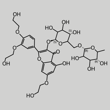 CC1O[C@@H](OCC2O[C@@H](Oc3c(-c4ccc(OCCO)c(OCCO)c4)oc4cc(OCCO)cc(O)c4c3=O)C(O)C(O)[C@@H]2O)C(O)C(O)[C@H]1O